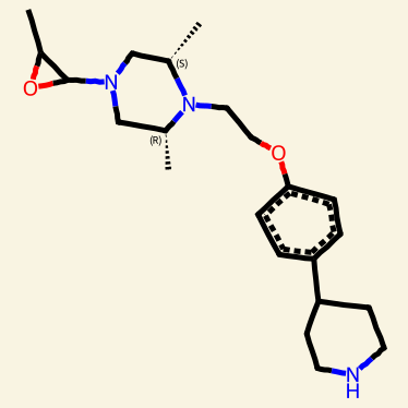 CC1OC1N1C[C@@H](C)N(CCOc2ccc(C3CCNCC3)cc2)[C@@H](C)C1